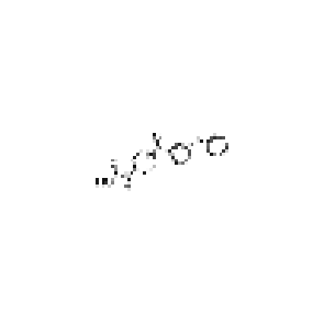 O=C(O)NC1CCN(C(=O)c2cccc(Oc3ccccc3)c2)CC1